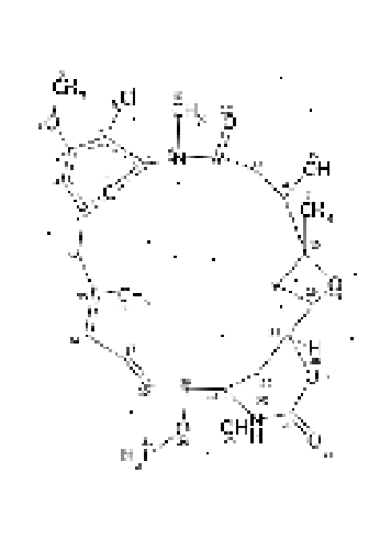 COc1cc2cc(c1Cl)N(C)C(=O)CC(O)C1(C)CC(O1)[C@@H]1C[C@@](O)(NC(=O)O1)C(OC)/C=C/C=C(\C)C2